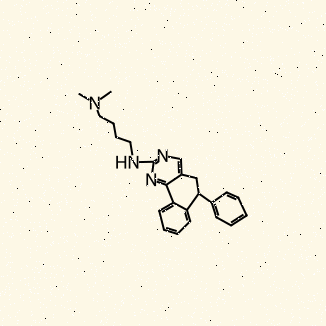 CN(C)CCCCNc1ncc2c(n1)-c1ccccc1C(c1ccccc1)C2